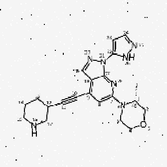 C[C@@H]1COCCN1c1cc(C#CC2CCCNC2)c2cnn(-c3ccn[nH]3)c2n1